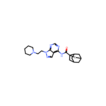 O=C(Nc1ncnc2c1cnn2CCN1CCCCC1)C12CC3CC(CC1C3)C2